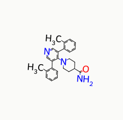 Cc1ccccc1-c1cncc(-c2ccccc2C)c1N1CCC(C(N)=O)CC1